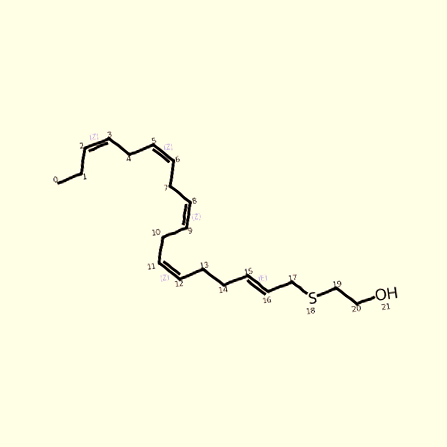 CC/C=C\C/C=C\C/C=C\C/C=C\CC/C=C/CSCCO